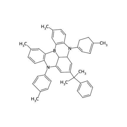 CC1=CC=C(N2c3ccc(C)cc3B3c4cc(C)ccc4N(c4ccc(C)cc4)C4=CC(C(C)(C)c5ccccc5)=CC2C34)CC1